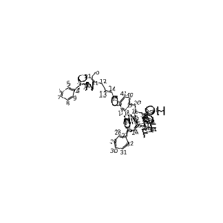 Cc1oc(-c2ccccc2)nc1CCCOc1ccc(C[C@H](N/C(=C\C(=O)c2ccccc2)C(F)(F)F)C(=O)O)cc1